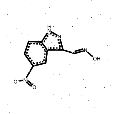 O=[N+]([O-])c1ccc2[nH]nc(C=NO)c2c1